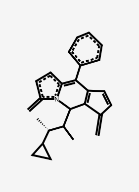 C=C1C=CC2=C1C(C(C)[C@@H](C)C1CC1)n1c(=C)ccc1=C2c1ccccc1